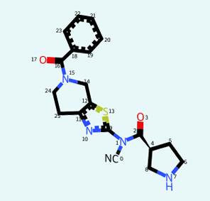 N#CN(C(=O)[C@H]1CCNC1)c1nc2c(s1)CN(C(=O)c1ccccc1)CC2